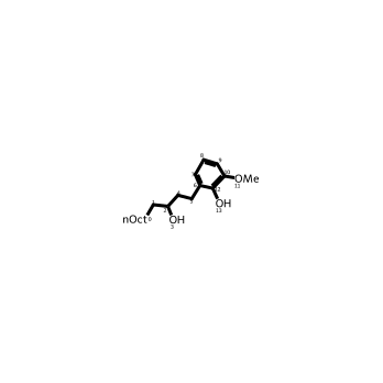 CCCCCCCCCC(O)CCc1cccc(OC)c1O